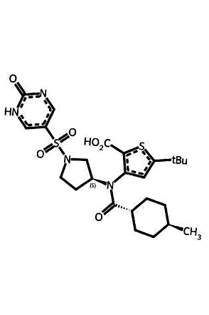 CC(C)(C)c1cc(N(C(=O)[C@H]2CC[C@H](C)CC2)[C@H]2CCN(S(=O)(=O)c3cnc(=O)[nH]c3)C2)c(C(=O)O)s1